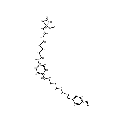 C=Cc1ccc(COCCCCCCOc2ccc(OCCCCCCOCC3(CC)COC3)cc2)cc1